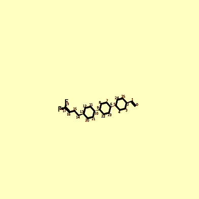 C=C[C@H]1CC[C@H](C2CCC([C@H]3CC[C@H](CCC=C(F)F)CC3)CC2)CC1